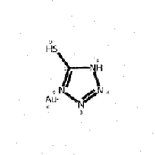 Sc1nnn[nH]1.[Au]